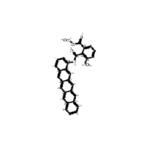 CCCCCCCCOC(=O)c1cccc(CCCCCCCC)c1C(=O)Oc1cccc2cc3cc4cc5ccccc5cc4cc3cc12